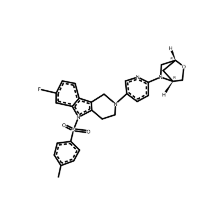 Cc1ccc(S(=O)(=O)n2c3c(c4ccc(F)cc42)CN(c2ccc(N4C[C@H]5C[C@@H]4CO5)nc2)CC3)cc1